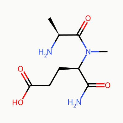 C[C@H](N)C(=O)N(C)[C@H](CCC(=O)O)C(N)=O